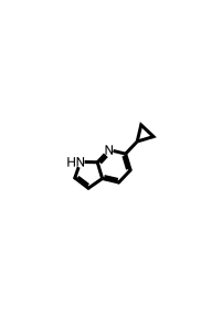 c1cc2ccc(C3CC3)nc2[nH]1